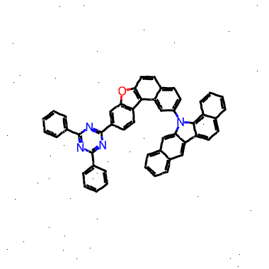 c1ccc(-c2nc(-c3ccccc3)nc(-c3ccc4c(c3)oc3ccc5ccc(-n6c7cc8ccccc8cc7c7ccc8ccccc8c76)cc5c34)n2)cc1